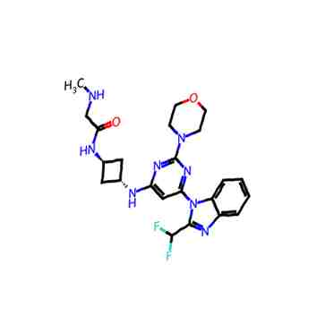 CNCC(=O)N[C@H]1C[C@H](Nc2cc(-n3c(C(F)F)nc4ccccc43)nc(N3CCOCC3)n2)C1